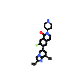 Cc1cn2cc(-c3cc4ccn(C5CCNCC5)c(=O)c4cc3F)cc(C#N)c2n1